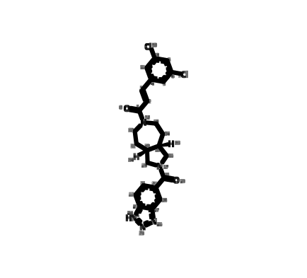 O=C(C=Cc1cc(Cl)cc(Cl)c1)N1CC[C@@H]2CN(C(=O)c3ccc4[nH]nnc4c3)C[C@@H]2CC1